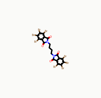 O=C1c2c(Br)c(Br)c(Br)c(Br)c2C(=O)N1CCCCN1C(=O)c2c(Br)c(Br)c(Br)c(Br)c2C1=O